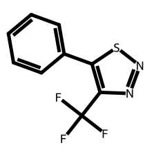 FC(F)(F)c1nnsc1-c1ccccc1